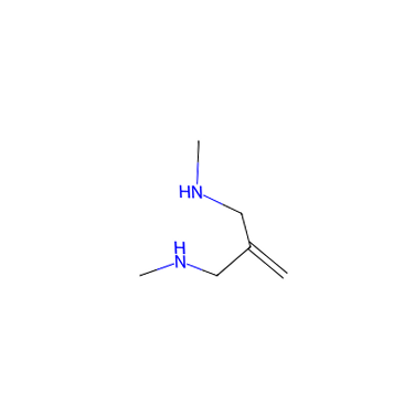 C=C(CNC)CNC